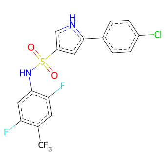 O=S(=O)(Nc1cc(F)c(C(F)(F)F)cc1F)c1c[nH]c(-c2ccc(Cl)cc2)c1